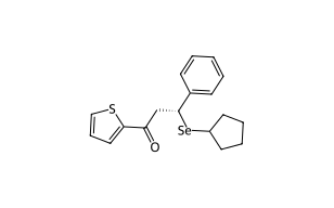 O=C(C[C@@H]([Se]C1CCCC1)c1ccccc1)c1cccs1